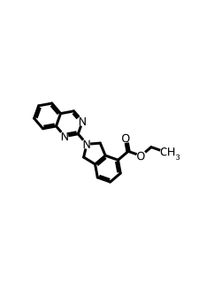 CCOC(=O)c1cccc2c1CN(c1ncc3ccccc3n1)C2